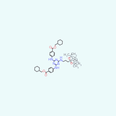 C[Si](C)(C)O[Si](C)(CCCNc1nc(Nc2ccc(C(=O)OCC3CCCCC3)cc2)nc(Nc2ccc(C(=O)OCC3CCCCC3)cc2)n1)O[Si](C)(C)C